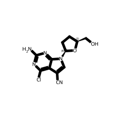 N#Cc1cn([C@H]2CC[C@@H](CO)O2)c2nc(N)nc(Cl)c12